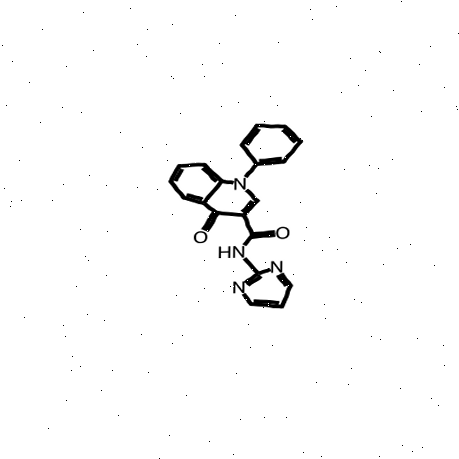 O=C(Nc1ncccn1)c1cn(-c2ccccc2)c2ccccc2c1=O